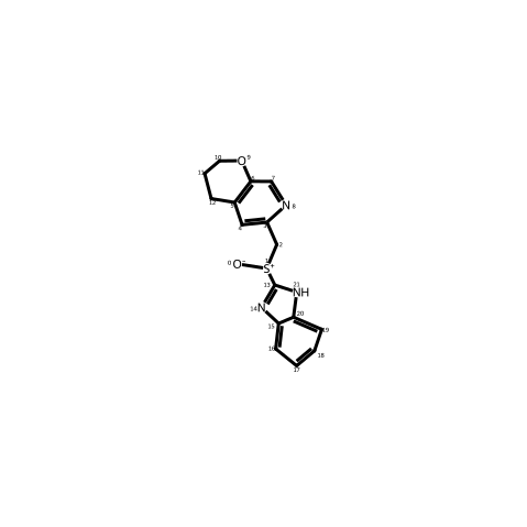 [O-][S+](Cc1cc2c(cn1)OCCC2)c1nc2ccccc2[nH]1